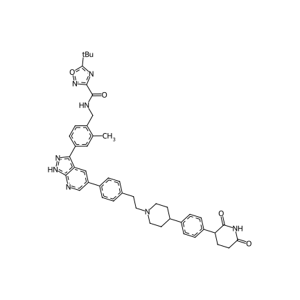 Cc1cc(-c2n[nH]c3ncc(-c4ccc(CCN5CCC(c6ccc(C7CCC(=O)NC7=O)cc6)CC5)cc4)cc23)ccc1CNC(=O)c1noc(C(C)(C)C)n1